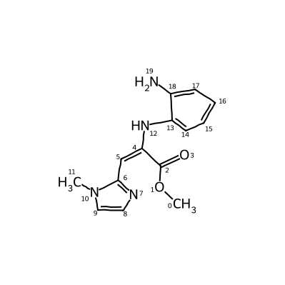 COC(=O)C(=Cc1nccn1C)Nc1ccccc1N